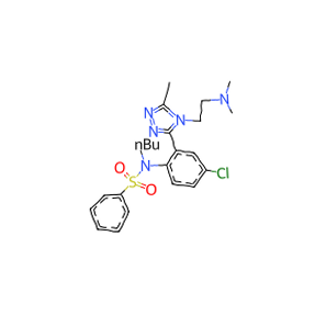 CCCCN(c1ccc(Cl)cc1-c1nnc(C)n1CCN(C)C)S(=O)(=O)c1ccccc1